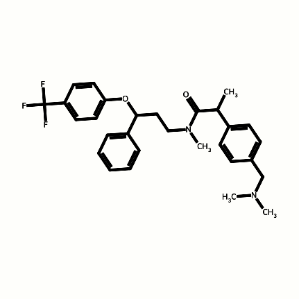 CC(C(=O)N(C)CCC(Oc1ccc(C(F)(F)F)cc1)c1ccccc1)c1ccc(CN(C)C)cc1